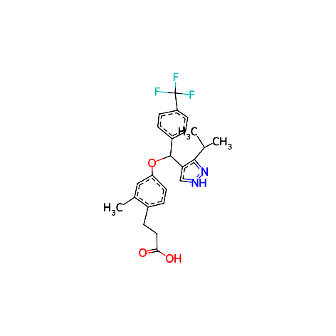 Cc1cc(OC(c2ccc(C(F)(F)F)cc2)c2c[nH]nc2C(C)C)ccc1CCC(=O)O